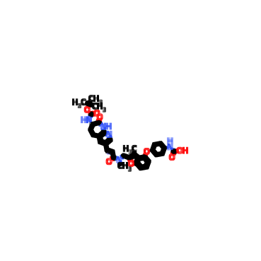 Cc1c(CN(C)C(=O)/C=C/c2cnc3c(c2)CC[C@H](NC(=O)OC(C)(C)C)C(=O)N3)oc2cccc(O[C@H]3CC[C@H](NC(=O)O)CC3)c12